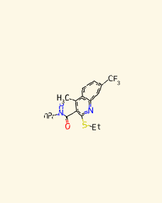 CCCNC(=O)c1c(SCC)nc2cc(C(F)(F)F)ccc2c1C